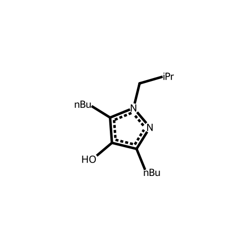 CCCCc1nn(CC(C)C)c(CCCC)c1O